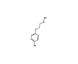 CC(C)OCCSc1ccc(C(C)C)cc1